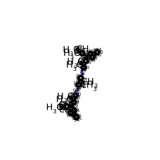 CC1(C)c2cc(/C=C/c3ccc4c(c3)C(C)(C)c3cc(N(c5ccc([Si](C)(C)C)cc5)c5ccc6c7c(cccc57)-c5ccccc5-6)ccc3-4)ccc2-c2ccc(/C=C/c3ccc4c(c3)C(C)(C)c3cc(N(c5ccc([Si](C)(C)C)cc5)c5ccc6c7c(cccc57)-c5ccccc5-6)ccc3-4)cc21